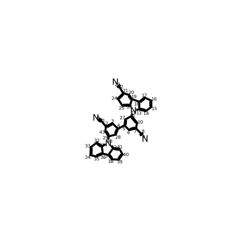 N#Cc1cc(-c2cc(C#N)cc(-n3c4ccccc4c4cc(C#N)ccc43)c2)cc(-n2c3ccccc3c3ccccc32)c1